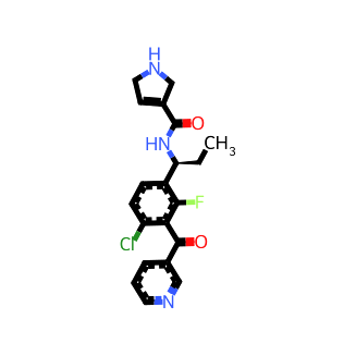 CC[C@H](NC(=O)C1=CCNC1)c1ccc(Cl)c(C(=O)c2cccnc2)c1F